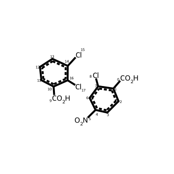 O=C(O)c1ccc([N+](=O)[O-])cc1Cl.O=C(O)c1cccc(Cl)c1Cl